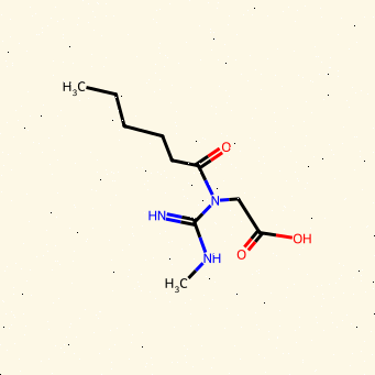 CCCCCC(=O)N(CC(=O)O)C(=N)NC